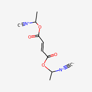 [C-]#[N+]C(C)OC(=O)/C=C/C(=O)OC(C)[N+]#[C-]